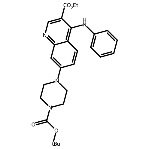 CCOC(=O)c1cnc2cc(N3CCN(C(=O)OC(C)(C)C)CC3)ccc2c1Nc1ccccc1